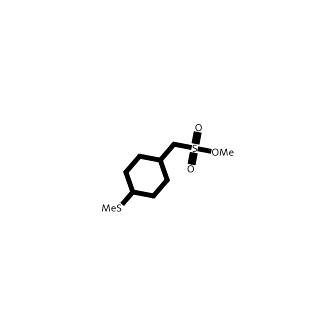 COS(=O)(=O)CC1CCC(SC)CC1